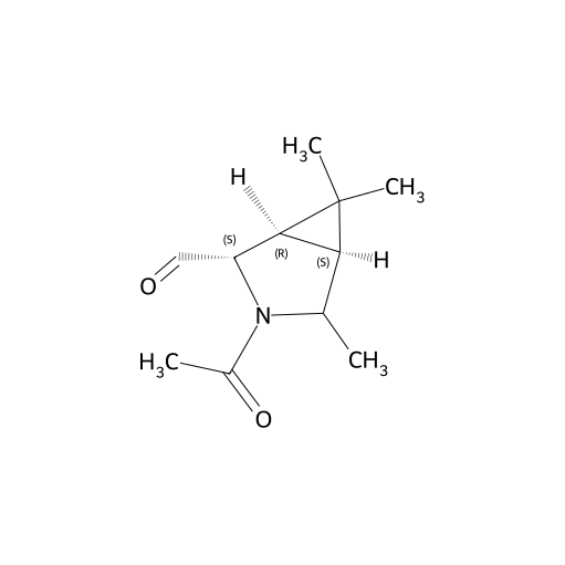 CC(=O)N1C(C)[C@H]2[C@@H]([C@H]1C=O)C2(C)C